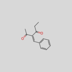 CCC(=O)C(=Cc1ccccc1)C(C)=O